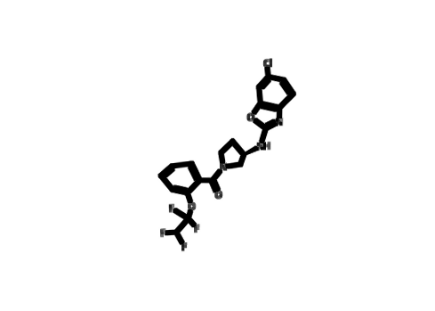 O=C(c1ccccc1OC(F)(F)C(F)F)N1CC[C@@H](Nc2nc3ccc(Cl)cc3o2)C1